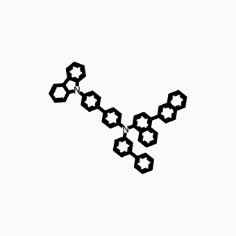 C1=CC2c3ccccc3N(c3ccc(-c4ccc(N(c5cccc(-c6ccccc6)c5)c5ccc(-c6ccc7ccccc7c6)c6ccccc56)cc4)cc3)C2C=C1